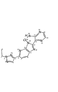 CCn1ncc(-c2ccc3nc(-c4nccnc4N)n(Cl)c3n2)n1